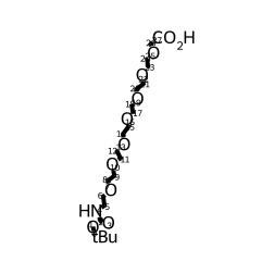 CC(C)(C)OC(=O)NCCOCCOCCOCCOCCOCCOCCOCC(=O)O